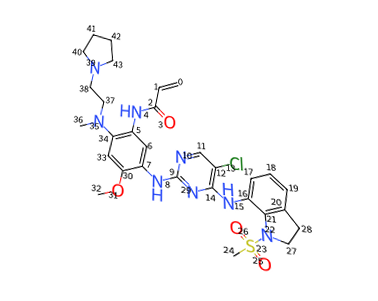 C=CC(=O)Nc1cc(Nc2ncc(Cl)c(Nc3cccc4c3N(S(C)(=O)=O)CC4)n2)c(OC)cc1N(C)CCN1CCCC1